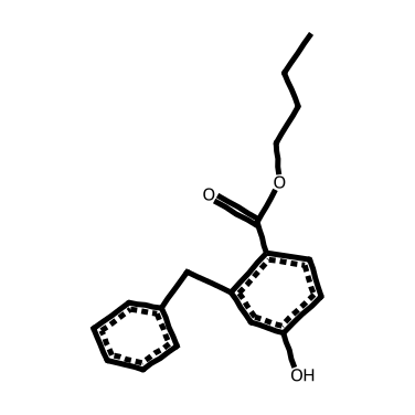 CCCCOC(=O)c1ccc(O)cc1Cc1ccccc1